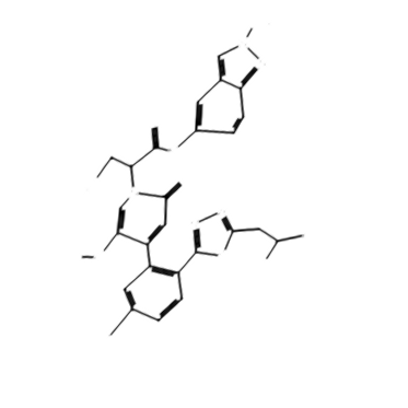 CCC(C(=O)Nc1ccc2nn(C)cc2c1)n1cc(OC)c(-c2cc(Cl)ccc2-c2nnc(CC(F)F)s2)cc1=O